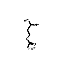 CCCCCCCC(=O)OCCC(CCC)CCC